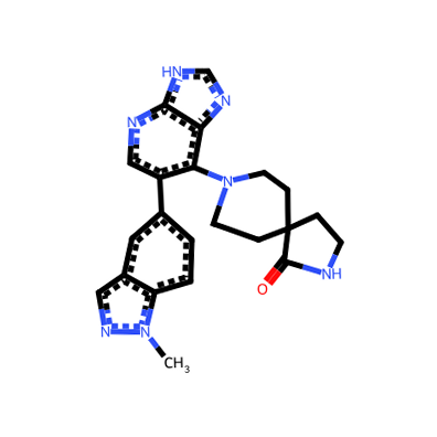 Cn1ncc2cc(-c3cnc4[nH]cnc4c3N3CCC4(CCNC4=O)CC3)ccc21